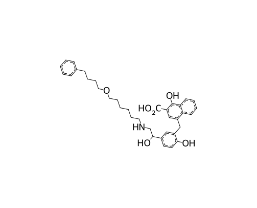 O=C(O)c1cc(Cc2cc(C(O)CNCCCCCCOCCCCc3ccccc3)ccc2O)c2ccccc2c1O